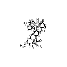 CCN(CC)CCOc1cc(F)c(Nc2ncc(F)c(N[C@@H]3C[C@@H]4CCCN4C(C)(C)C3)n2)cc1-n1nnn(C)c1=O